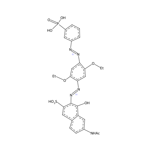 CCOc1cc(/N=N/c2c(S(=O)(=O)O)cc3ccc(NC(C)=O)cc3c2O)c(OCC)cc1/N=N/c1cccc(P(=O)(O)O)c1